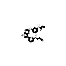 C=CC(=O)Nc1cccc(Oc2cnc3[nH]cc(-c4cccc(NCCC#N)n4)c3n2)c1